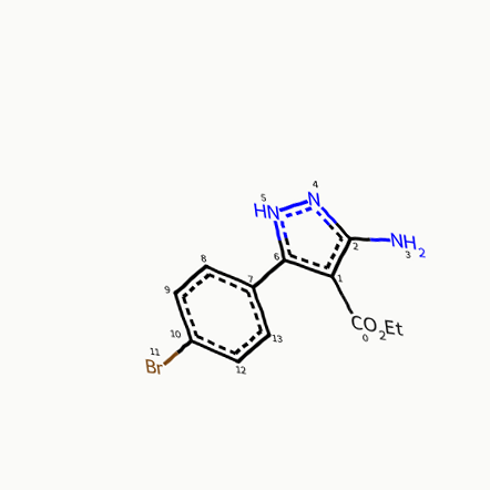 CCOC(=O)c1c(N)n[nH]c1-c1ccc(Br)cc1